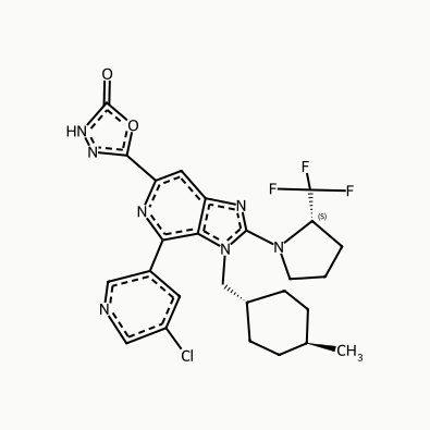 C[C@H]1CC[C@H](Cn2c(N3CCC[C@H]3C(F)(F)F)nc3cc(-c4n[nH]c(=O)o4)nc(-c4cncc(Cl)c4)c32)CC1